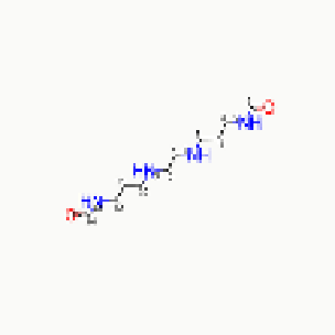 O=CNCCCNCCNCCCNC=O